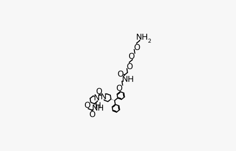 NCCOCCOCCOCCC(=O)NCCOc1cccc([C@H](c2ccccc2)C2CCN(C(=O)N3CCC4OCC(=O)N[C@@H]4C3)CC2)c1